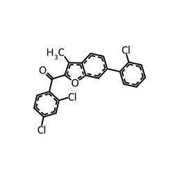 Cc1c(C(=O)c2ccc(Cl)cc2Cl)oc2cc(-c3ccccc3Cl)ccc12